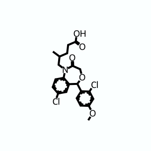 COc1ccc(C2OCC(=O)N(CC(C)CCC(=O)O)c3ccc(Cl)cc32)c(Cl)c1